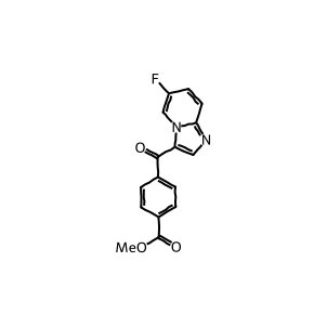 COC(=O)c1ccc(C(=O)c2cnc3ccc(F)cn23)cc1